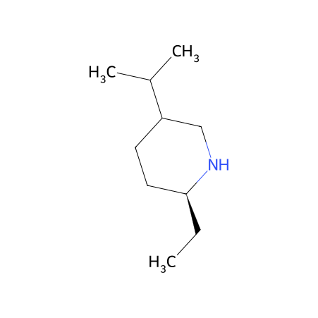 CC[C@H]1CCC(C(C)C)CN1